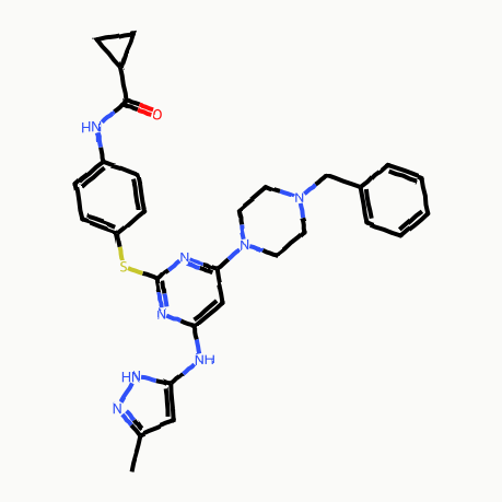 Cc1cc(Nc2cc(N3CCN(Cc4ccccc4)CC3)nc(Sc3ccc(NC(=O)C4CC4)cc3)n2)[nH]n1